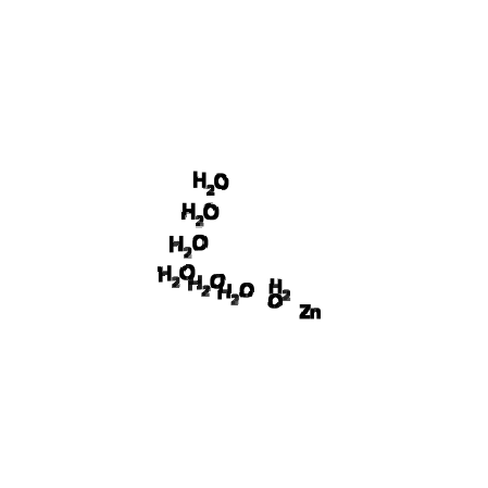 O.O.O.O.O.O.O.[Zn]